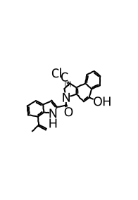 C=C(C)c1cccc2cc(C(=O)N3C[C@@H](CCl)c4c3cc(O)c3ccccc43)[nH]c12